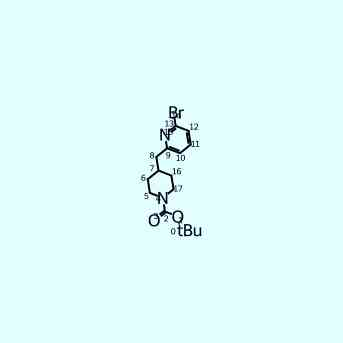 CC(C)(C)OC(=O)N1CCC(Cc2cccc(Br)n2)CC1